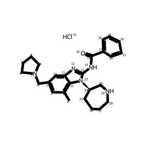 Cc1cc(CN2CCCC2)cc2nc(NC(=O)c3ccccc3)n([C@@H]3CCCCNC3)c12.Cl